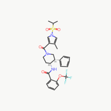 Cc1cn(S(=O)(=O)C(C)C)cc1C(=O)N1CC[C@@H](NC(=O)c2ccccc2OC(F)(F)F)[C@@H](c2ccccc2)C1